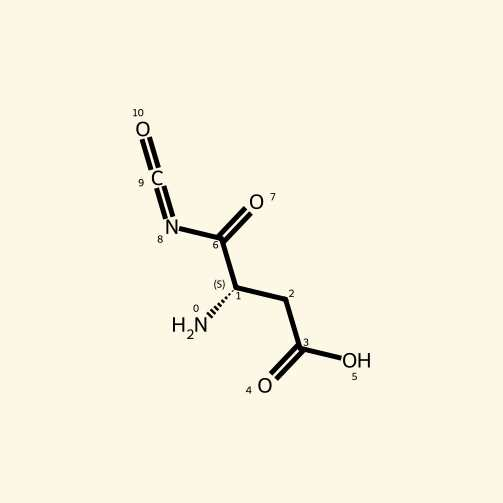 N[C@@H](CC(=O)O)C(=O)N=C=O